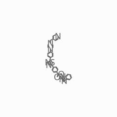 O=C(On1nnc2ccccc21)c1ccc(-c2nnc(-c3ccc(N4CCN(Cc5ccncc5)CC4)cc3)s2)cc1